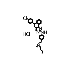 CCCCN(C)CCc1ccc(Nc2ncc3c(n2)-c2ccccc2C(c2ccc(Cl)cc2)C3)cc1.Cl